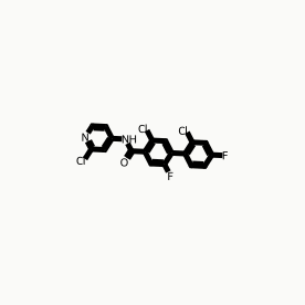 O=C(Nc1ccnc(Cl)c1)c1cc(F)c(-c2ccc(F)cc2Cl)cc1Cl